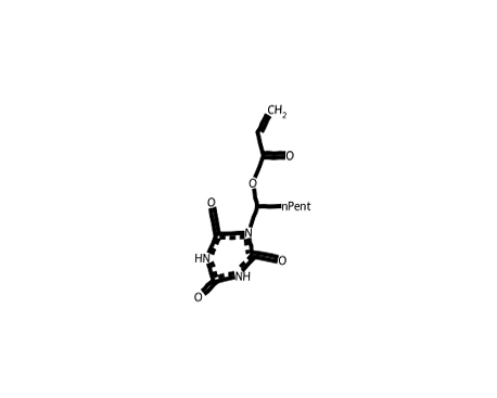 C=CC(=O)OC(CCCCC)n1c(=O)[nH]c(=O)[nH]c1=O